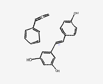 C=C=Cc1ccccc1.Oc1ccc(/C=C/c2cc(O)cc(O)c2)cc1